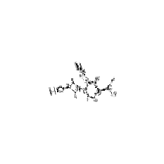 CC(C)c1ccc(N2CC(O)C2)c(C#N)c1